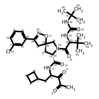 CC(=O)C(=O)C(CC1CCC1)NC(=O)[C@@H]1C[C@]2(CC(c3cccc(Cl)c3)=NO2)CN1C(=O)[C@@H](NC(=O)NC(C)(C)C)C(C)(C)C